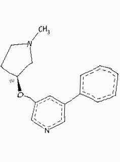 CN1CC[C@H](Oc2cncc(-c3ccccc3)c2)C1